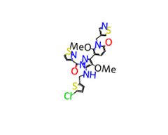 COc1c(-c2ccc(=O)n(Cc3cnsc3)c2OC)nn(C(=O)c2ccsn2)c1NCc1ccc(Cl)s1